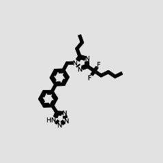 CCCCC(F)(F)c1nc(CCC)n(Cc2ccc(-c3cccc(-c4nnn[nH]4)c3)cc2)n1